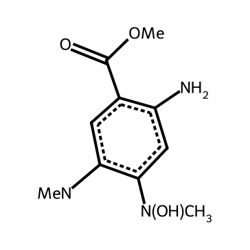 CNc1cc(C(=O)OC)c(N)cc1N(C)O